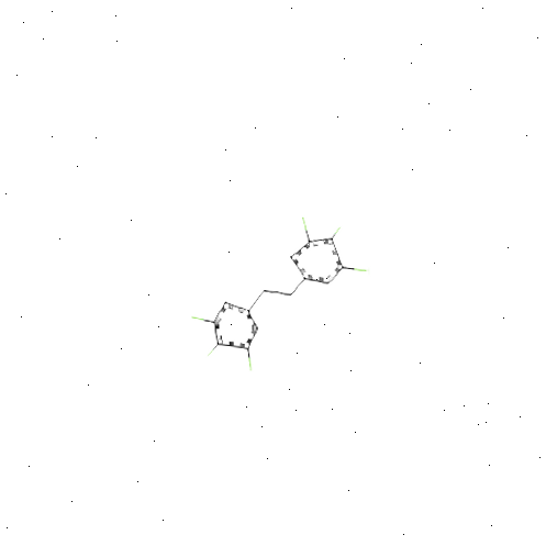 Fc1cc(CCc2cc(F)c(F)c(F)c2)cc(F)c1F